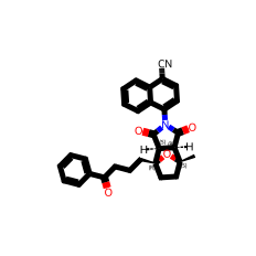 C[C@@]12CC[C@@](CCCC(=O)c3ccccc3)(O1)[C@H]1C(=O)N(c3ccc(C#N)c4ccccc34)C(=O)[C@H]12